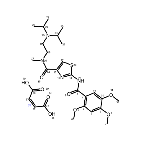 COc1cc(OC)c(C(=O)Nc2nc(C(=O)N(C)CCN(C(C)C)C(C)C)cs2)cc1OC.O=C(O)/C=C\C(=O)O